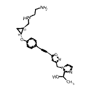 CC(O)c1nccn1Cc1cc(C#Cc2ccc(O[C@@H]3C[C@H]3CNCCN)cc2)on1